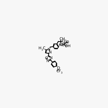 Cc1cc(-c2nc(-c3ccc(OC(F)(F)F)cc3)no2)nn1Cc1cccc(CC(C)(C)OP(=O)(O)O)c1